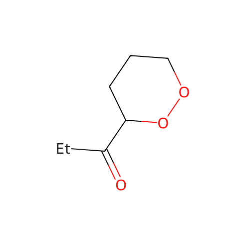 CCC(=O)C1CCCOO1